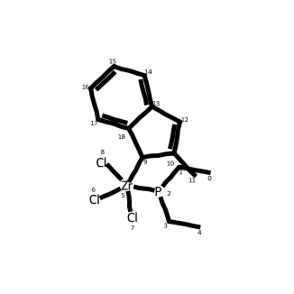 CC[P](CC)[Zr]([Cl])([Cl])([Cl])[CH]1C(C)=Cc2ccccc21